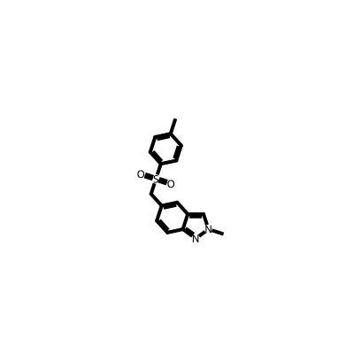 Cc1ccc(S(=O)(=O)Cc2ccc3nn(C)cc3c2)cc1